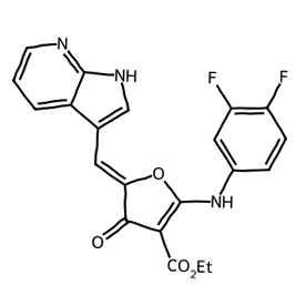 CCOC(=O)C1=C(Nc2ccc(F)c(F)c2)O/C(=C\c2c[nH]c3ncccc23)C1=O